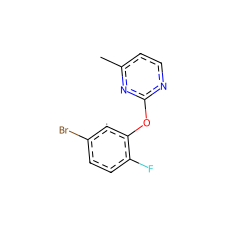 Cc1ccnc(Oc2[c]c(Br)ccc2F)n1